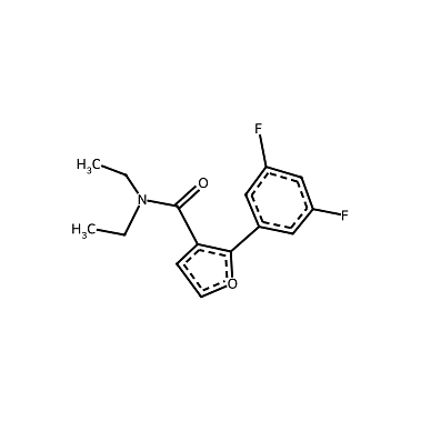 CCN(CC)C(=O)c1ccoc1-c1cc(F)cc(F)c1